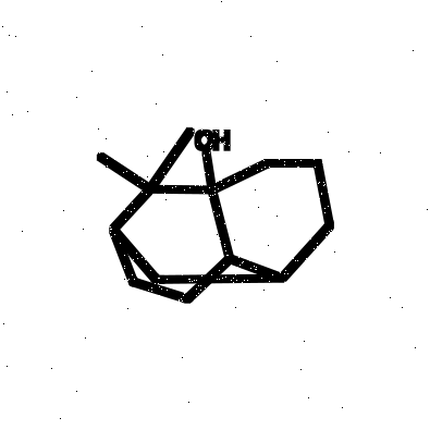 CC1(C)C2CCC3C(CCCC31O)C2